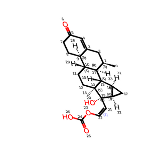 C[C@@H]1CC2=CC(=O)CC[C@@H]2[C@H]2CC[C@@]3(C)[C@@H]([C@H]4C[C@H]4[C@@]3(O)/C=C\OC(=O)O)[C@@H]21